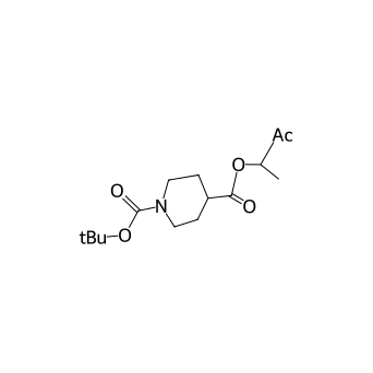 CC(=O)C(C)OC(=O)C1CCN(C(=O)OC(C)(C)C)CC1